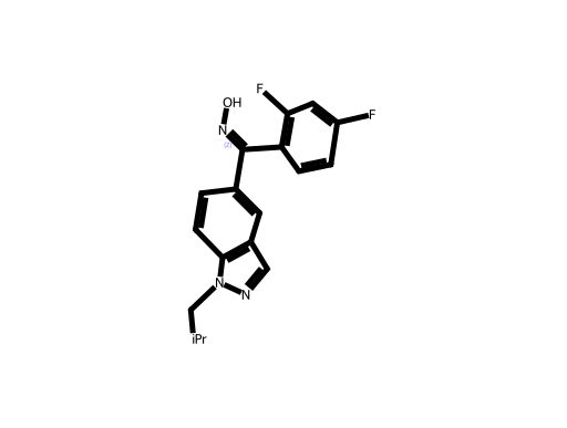 CC(C)Cn1ncc2cc(/C(=N/O)c3ccc(F)cc3F)ccc21